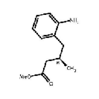 COC(=O)C[C@H](C)Cc1ccccc1N